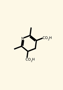 CC1=NC(C)=C(C(=O)O)CC1C(=O)O